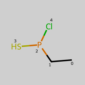 CCP(S)Cl